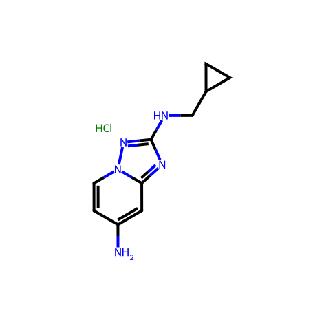 Cl.Nc1ccn2nc(NCC3CC3)nc2c1